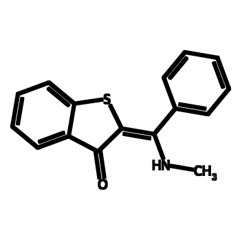 CNC(=C1Sc2ccccc2C1=O)c1ccccc1